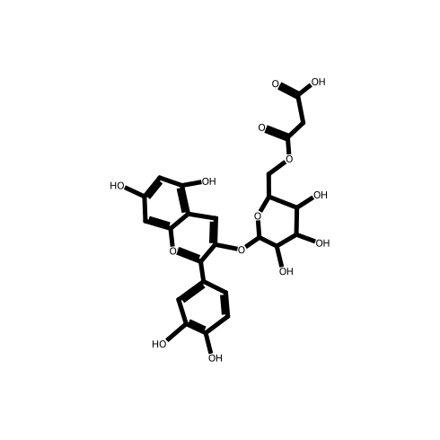 O=C(O)CC(=O)OCC1OC(Oc2cc3c(O)cc(O)cc3[o+]c2-c2ccc(O)c(O)c2)C(O)C(O)C1O